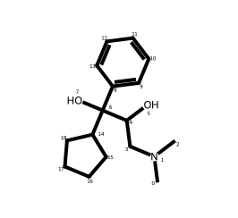 CN(C)CC(O)C(O)(c1ccccc1)C1CCCC1